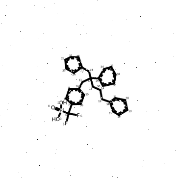 O=P(O)(O)C(F)(F)c1ccc(CC(CCCc2ccccc2)(Cc2ccccc2)c2ccccc2)cc1